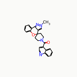 Cn1cc2c(n1)-c1ccccc1OC21CCN(C(=O)c2ccnc3ccccc23)CC1